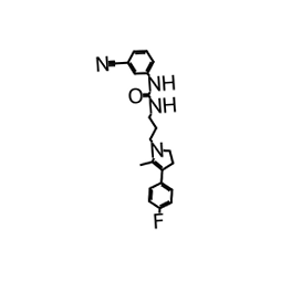 CC1=C(c2ccc(F)cc2)CCN1CCCNC(=O)Nc1cccc(C#N)c1